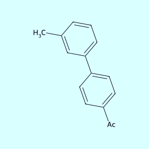 CC(=O)c1ccc(-c2cccc(C)c2)cc1